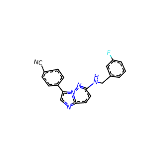 N#Cc1ccc(-c2cnc3ccc(NCc4cccc(F)c4)nn23)cc1